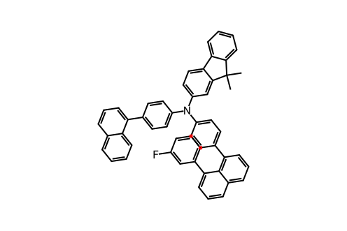 CC1(C)c2ccccc2-c2ccc(N(c3ccc(-c4cccc5ccccc45)cc3)c3ccc(-c4cccc5cccc(-c6cccc(F)c6)c45)cc3)cc21